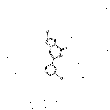 N#Cc1cccc(-c2cn3nc(Cl)cc3c(=O)[nH]2)c1